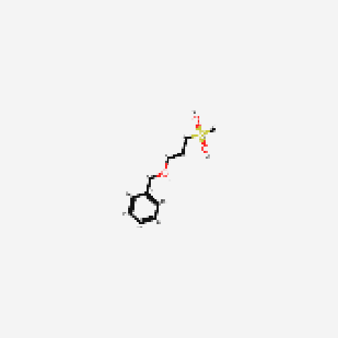 CS(=O)(=O)CCCOCc1ccccc1